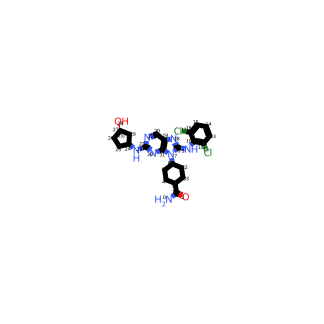 NC(=O)C1CCC(n2c(Nc3c(Cl)cccc3Cl)nc3cnc(NC4CC[C@H](O)C4)nc32)CC1